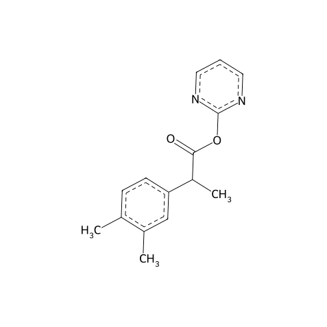 Cc1ccc(C(C)C(=O)Oc2ncccn2)cc1C